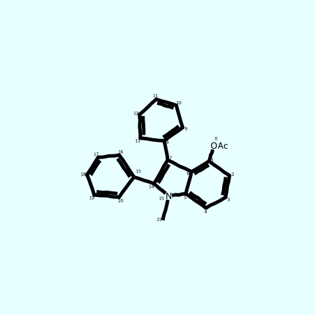 CC(=O)Oc1cccc2c1c(-c1ccccc1)c(-c1ccccc1)n2C